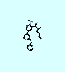 C=CCCN(C)C(=O)c1cc(-c2ccnc(Nc3ccncn3)c2)cnc1NC